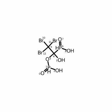 O=[PH](O)OC(O)([PH](=O)O)C(Br)(Br)Br